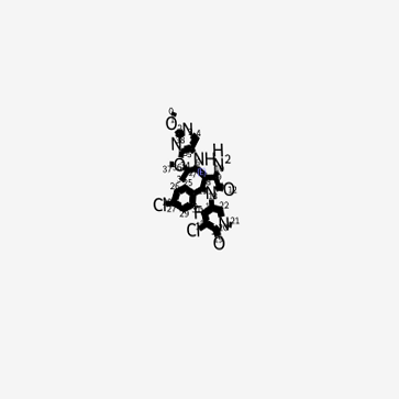 COc1ncc(N/C(=C2\C(N)C(=O)N(c3cc(Cl)c(=O)n(C)c3)C2c2ccc(Cl)cc2F)C(C)C)c(OC)n1